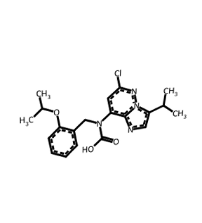 CC(C)Oc1ccccc1CN(C(=O)O)c1cc(Cl)nn2c(C(C)C)cnc12